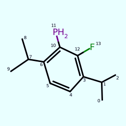 CC(C)c1ccc(C(C)C)c(P)c1F